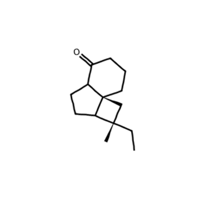 CC[C@@]1(C)C[C@]23CCCC(=O)C2CCC13